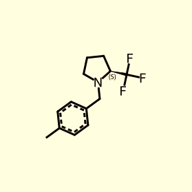 Cc1ccc(CN2CCC[C@H]2C(F)(F)F)cc1